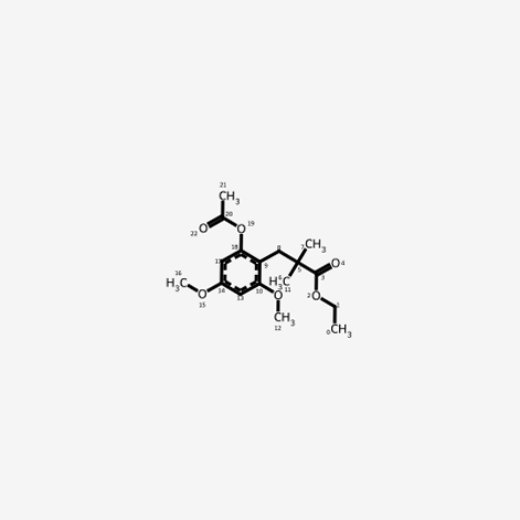 CCOC(=O)C(C)(C)Cc1c(OC)cc(OC)cc1OC(C)=O